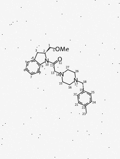 COC[C@@H]1Cc2ccccc2N1C(=O)CN1CCN(Cc2ccc(C)cc2)CC1